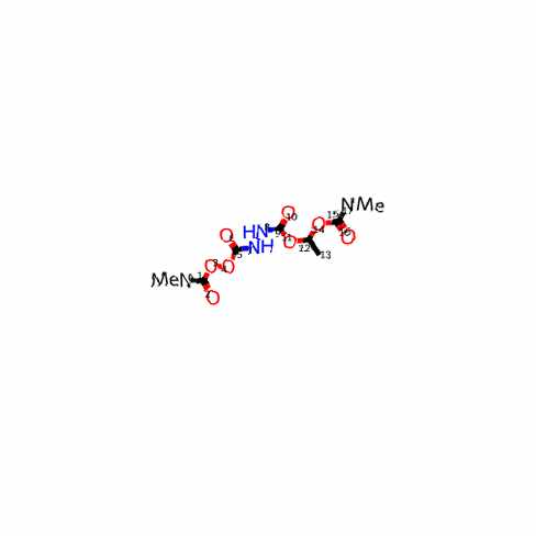 CNC(=O)OOC(=O)NNC(=O)OC(C)OC(=O)NC